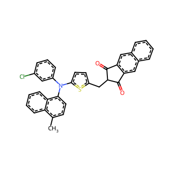 Cc1ccc(N(c2cccc(Cl)c2)c2ccc(CC3C(=O)c4cc5ccccc5cc4C3=O)s2)c2ccccc12